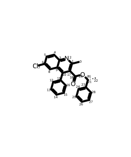 Cc1nc2ccc(Cl)cc2c(-c2ccccc2)c1C(=O)O[C@H](C)c1ccccc1